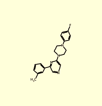 Cc1cccc(-c2cncc(N3CCN(c4ccc(F)cc4)CC3)n2)c1